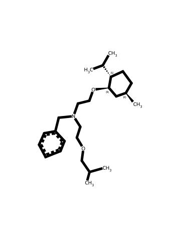 CC(C)COCCN(CCO[C@@H]1C[C@H](C)CC[C@H]1C(C)C)Cc1ccccc1